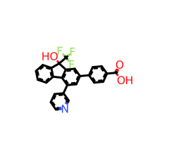 O=C(O)c1ccc(-c2cc(-c3cccnc3)c3c(c2)C(O)(C(F)(F)F)c2ccccc2-3)cc1